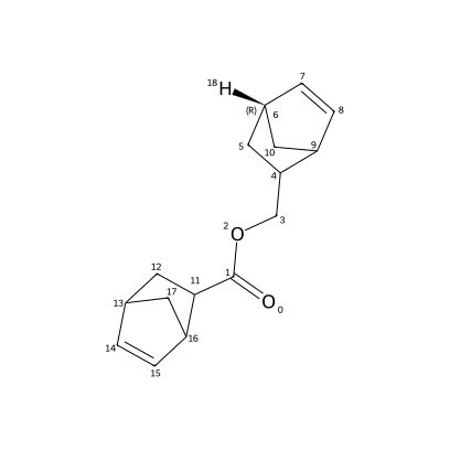 O=C(OCC1C[C@@H]2C=CC1C2)C1CC2C=CC1C2